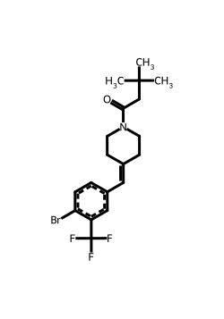 CC(C)(C)CC(=O)N1CCC(=Cc2ccc(Br)c(C(F)(F)F)c2)CC1